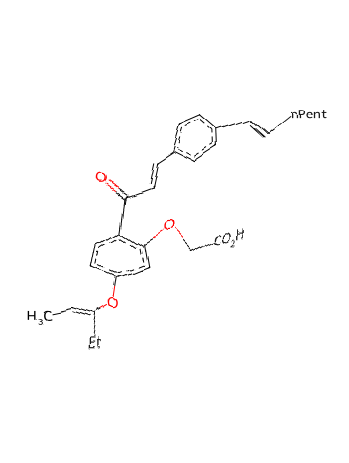 CC=C(CC)Oc1ccc(C(=O)C=Cc2ccc(C=CCCCCC)cc2)c(OCC(=O)O)c1